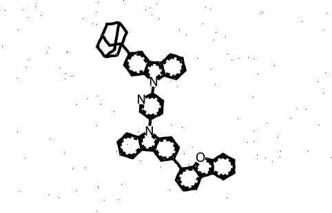 c1ccc2c(c1)oc1c(-c3ccc4c(c3)c3ccccc3n4-c3ccc(-n4c5ccccc5c5cc(C67CC8CC(CC(C8)C6)C7)ccc54)nc3)cccc12